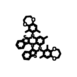 Cc1cc2c3c(c1)N(c1c(C)cc4c(c1C)OCCCO4)c1sc4ccccc4c1B3c1c(sc3ccccc13)N2c1c(C)cc2c(c1C)OCCCO2